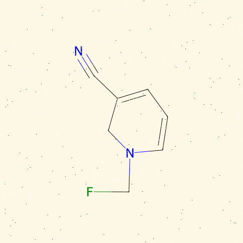 N#CC1=CC=CN(CF)C1